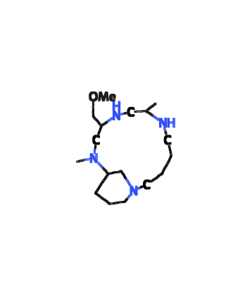 COCC1CN(C)C2CCCN(CCCCNC(C)CN1)C2